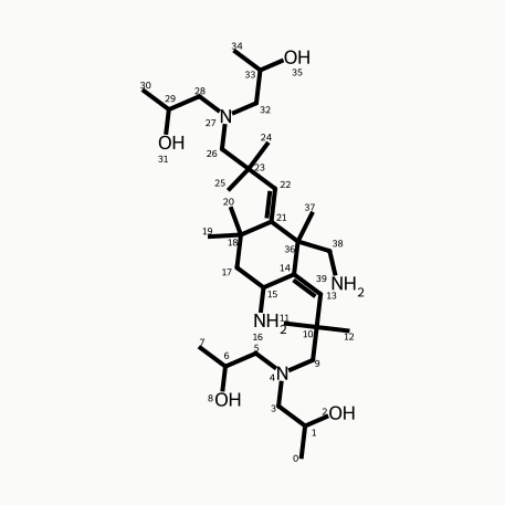 CC(O)CN(CC(C)O)CC(C)(C)C=C1C(N)CC(C)(C)C(=CC(C)(C)CN(CC(C)O)CC(C)O)C1(C)CN